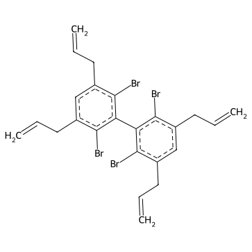 C=CCc1cc(CC=C)c(Br)c(-c2c(Br)c(CC=C)cc(CC=C)c2Br)c1Br